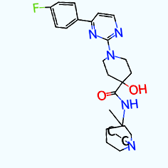 CC1(NC(=O)C2(O)CCN(c3nccc(-c4ccc(F)cc4)n3)CC2)CCN2CCC1CC2